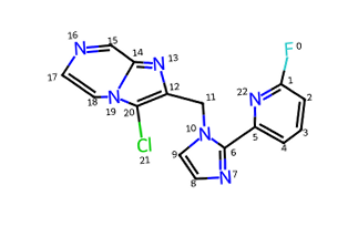 Fc1cccc(-c2nccn2Cc2nc3cnccn3c2Cl)n1